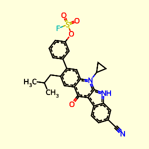 CC(C)Cc1cc2c(=O)c3c4ccc(C#N)cc4[nH]c3n(C3CC3)c2cc1-c1cccc(OS(=O)(=O)F)c1